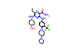 CCc1nc(C(N)=O)c(Nc2ccc(N3CCC(N4CCCC4)CC3)c(C(F)(F)F)c2)nc1N[C@H]1CC[C@H](O)CC1